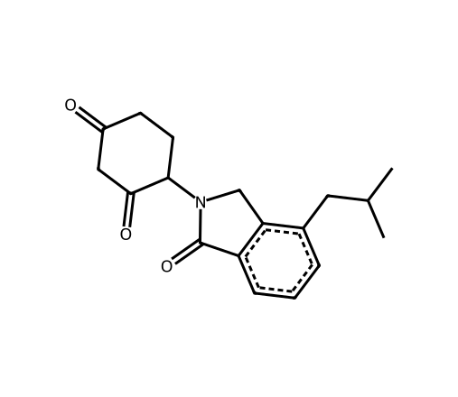 CC(C)Cc1cccc2c1CN(C1CCC(=O)CC1=O)C2=O